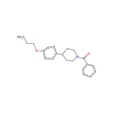 O=C(O)CCOc1ccc(C2CCN(C(=O)c3ccccc3)CC2)cc1